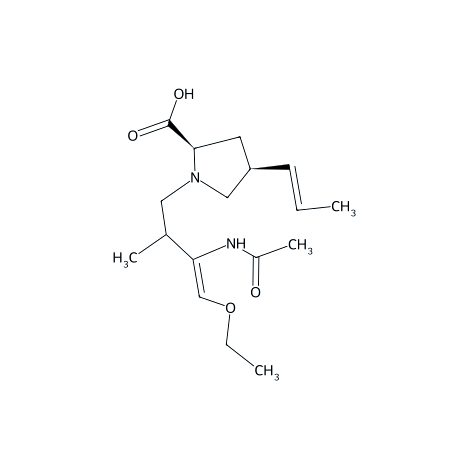 CC=C[C@@H]1C[C@H](C(=O)O)N(CC(C)C(=COCC)NC(C)=O)C1